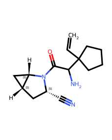 C=CC1(C(N)C(=O)N2[C@H](C#N)C[C@@H]3C[C@@H]32)CCCC1